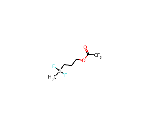 C[Si](F)(F)CCCOC(=O)C(F)(F)F